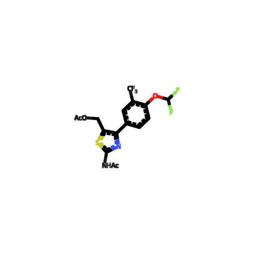 CC(=O)Nc1nc(-c2ccc(OC(F)F)c(C(F)(F)F)c2)c(COC(C)=O)s1